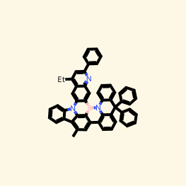 CCc1cc(-c2ccccc2)nc2cc3c(cc12)-n1c2ccccc2c2c(C)cc4c(c21)B3N1c2ccccc2C(c2ccccc2)(c2ccccc2)c2cccc-4c21